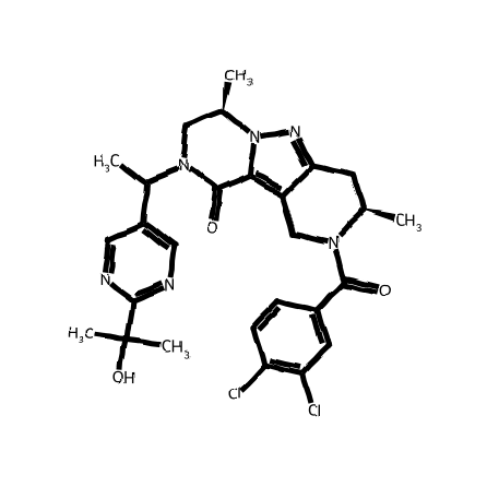 CC(c1cnc(C(C)(C)O)nc1)N1C[C@@H](C)n2nc3c(c2C1=O)CN(C(=O)c1ccc(Cl)c(Cl)c1)[C@H](C)C3